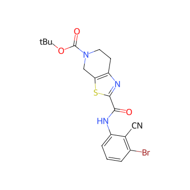 CC(C)(C)OC(=O)N1CCc2nc(C(=O)Nc3cccc(Br)c3C#N)sc2C1